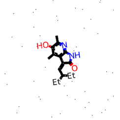 CCC(C=C1C(=O)Nc2nc(C)c(O)c(C)c21)CC